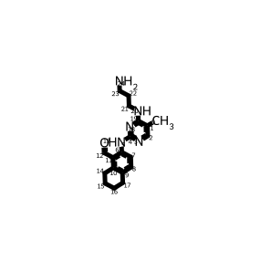 Cc1cnc(Nc2ccc3c(c2C=O)CCCC3)nc1NCCCN